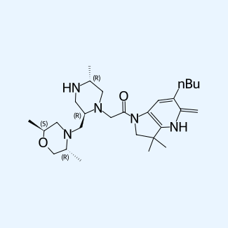 C=C1NC2=C(C=C1CCCC)N(C(=O)CN1C[C@@H](C)NC[C@@H]1CN1C[C@H](C)OC[C@H]1C)CC2(C)C